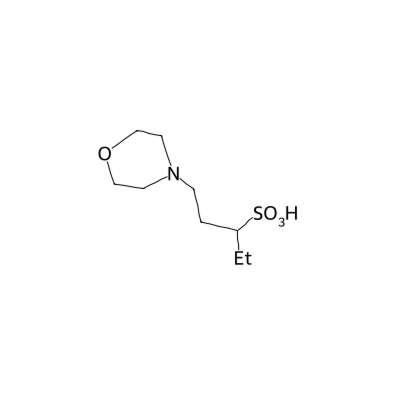 CCC(CCN1CCOCC1)S(=O)(=O)O